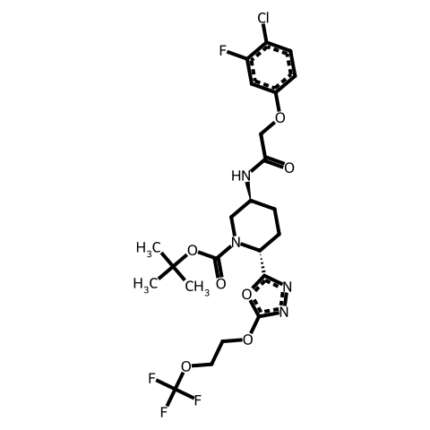 CC(C)(C)OC(=O)N1C[C@@H](NC(=O)COc2ccc(Cl)c(F)c2)CC[C@@H]1c1nnc(OCCOC(F)(F)F)o1